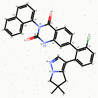 CC1(C)Cc2c(-c3cccc(Cl)c3-c3ccc4c(=O)n(-c5cccc6ccccc56)c(=O)[nH]c4c3)cnn2C1